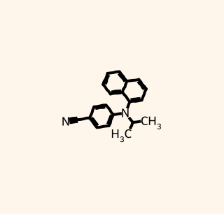 CC(C)N(c1ccc(C#N)cc1)c1cccc2ccccc12